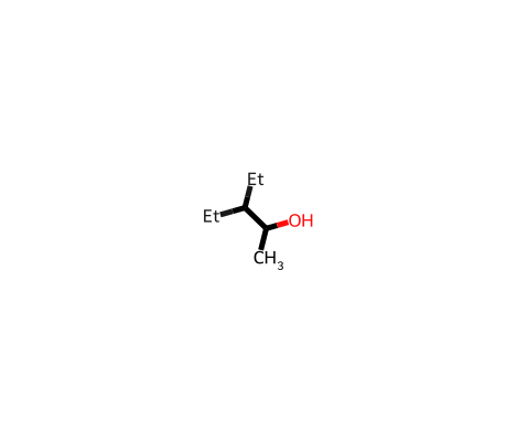 CCC(CC)C(C)O